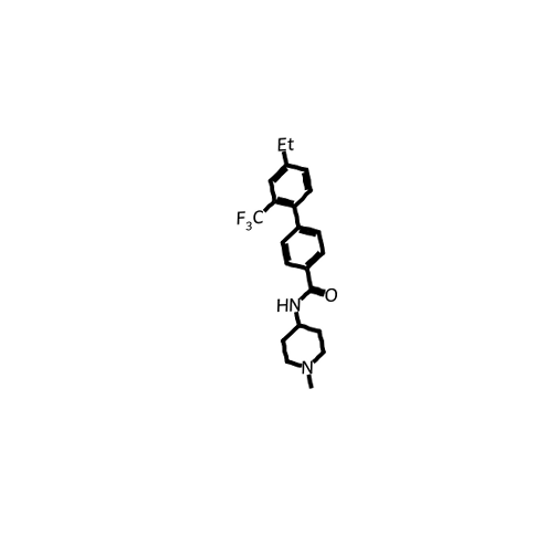 CCc1ccc(-c2ccc(C(=O)NC3CCN(C)CC3)cc2)c(C(F)(F)F)c1